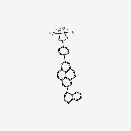 CC1(C)OB(c2ccc(-c3cc4ccc5cc(-c6cccc7ccccc67)cc6ccc(c3)c4c56)cc2)OC1(C)C